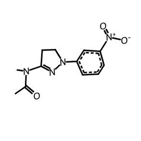 CC(=O)N(C)C1=NN(c2cccc([N+](=O)[O-])c2)CC1